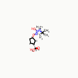 CN(/[N+](O)=N/O[C@@H]1CC[C@@H](C(=O)O)C1)C(C)(C)C